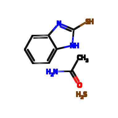 CC(N)=O.S.Sc1nc2ccccc2[nH]1